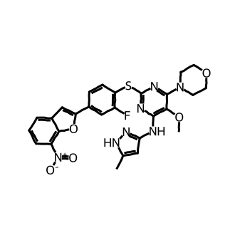 COc1c(Nc2cc(C)[nH]n2)nc(Sc2ccc(-c3cc4cccc([N+](=O)[O-])c4o3)cc2F)nc1N1CCOCC1